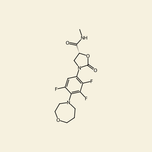 CNC(=O)[C@H]1CN(c2cc(F)c(N3CCCOCC3)c(F)c2F)C(=O)O1